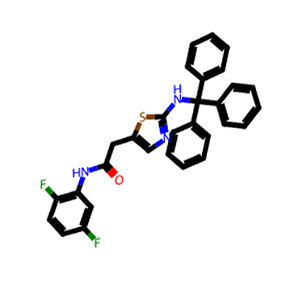 O=C(Cc1cnc(NC(c2ccccc2)(c2ccccc2)c2ccccc2)s1)Nc1cc(F)ccc1F